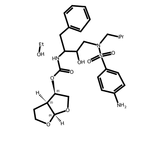 CC(C)CN(CC(O)C(Cc1ccccc1)NC(=O)O[C@H]1CO[C@H]2OCC[C@H]21)S(=O)(=O)c1ccc(N)cc1.CCO